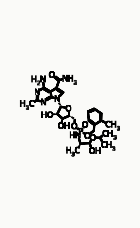 Cc1nc(N)c2c(C(N)=O)cn([C@@H]3O[C@H](COP(=O)(N[C@@H](C)C(O)OC(C)C)OCc4ccccc4C)[C@@H](O)[C@H]3O)c2n1